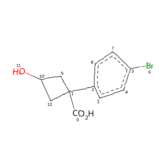 O=C(O)C1(c2ccc(Br)cc2)CC(O)C1